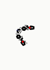 CN1C2C=C(c3cnc4cc(OC(=O)/C=C\C(=O)Oc5ccc6nc(C7=CC8CCC(C7)N8C)cnc6c5)ccc4n3)CC1CC2